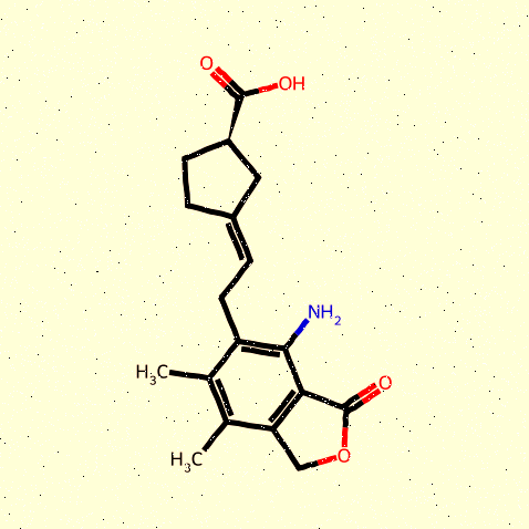 Cc1c(C)c2c(c(N)c1C/C=C1\CC[C@@H](C(=O)O)C1)C(=O)OC2